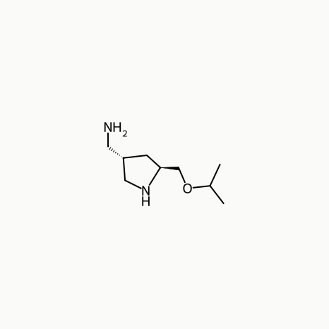 CC(C)OC[C@@H]1C[C@@H](CN)CN1